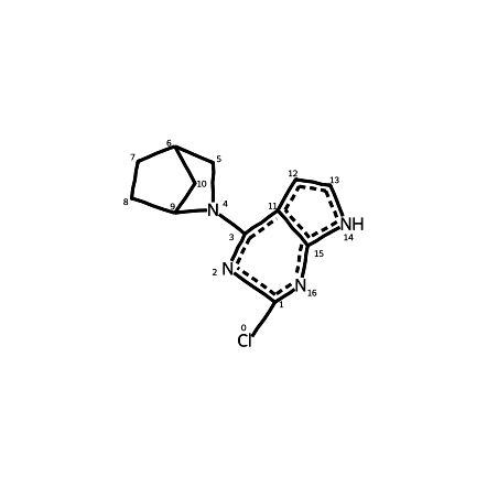 Clc1nc(N2CC3CCC2C3)c2cc[nH]c2n1